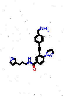 NCc1ccc(C#Cc2cc(C(=O)NCCCC3=CCN=C3)ccc2-n2cccn2)cc1